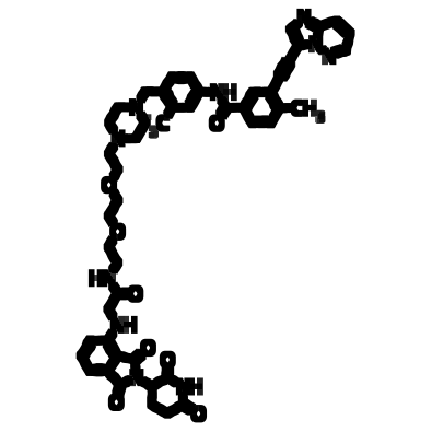 Cc1ccc(C(=O)Nc2ccc(CN3CCN(CCOCCOCCNC(=O)CNc4cccc5c4C(=O)N(C4CCC(=O)NC4=O)C5=O)CC3)c(C(F)(F)F)c2)cc1C#Cc1cnc2cccnn12